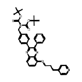 CC(C)(C)OC(=O)N(Cc1ccc(-c2nc3cccc(OCCCc4ccncc4)c3nc2-c2ccccc2)cc1)C(=O)OC(C)(C)C